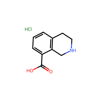 Cl.O=C(O)c1cccc2c1CNCC2